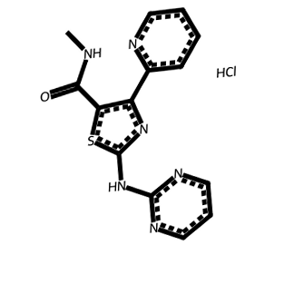 CNC(=O)c1sc(Nc2ncccn2)nc1-c1ccccn1.Cl